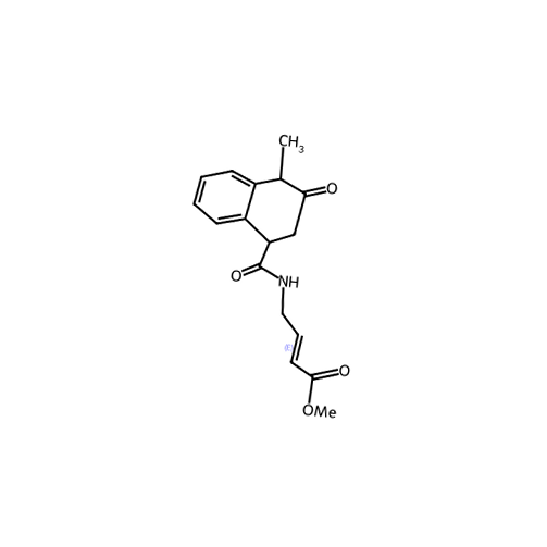 COC(=O)/C=C/CNC(=O)C1CC(=O)C(C)c2ccccc21